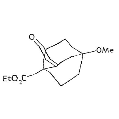 CCOC(=O)C12CCC(OC)(CC1)CC2=O